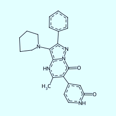 Cc1[nH]c2c(N3CCCCC3)c(-c3ccccc3)nn2c(=O)c1-c1cc[nH]c(=O)c1